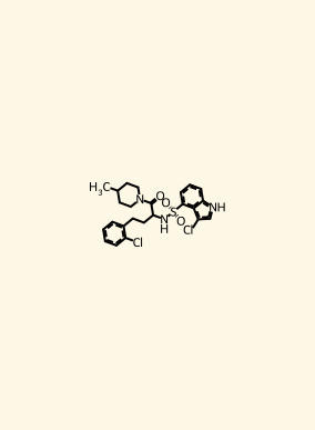 CC1CCN(C(=O)C(CCc2ccccc2Cl)NS(=O)(=O)c2cccc3[nH]cc(Cl)c23)CC1